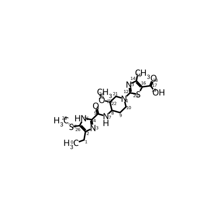 CCc1nc(C(=O)NC2CCN(c3nc(C)c(C(=O)O)s3)C[C@@H]2OC)[nH]c1SC